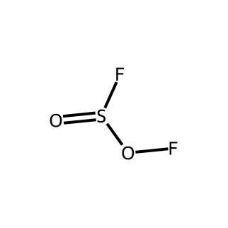 O=S(F)OF